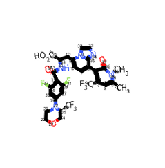 Cc1cc(C(F)(F)F)c(-c2ccc(CC(NC(=O)c3c(F)cc(N4CCOC[C@@H]4C(F)(F)F)cc3F)C(=O)O)n3ccnc23)c(=O)n1C